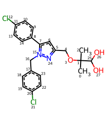 CC(C)(OCc1cc(-c2ccc(Cl)cc2)n(Cc2ccc(Cl)cc2)n1)C(O)O